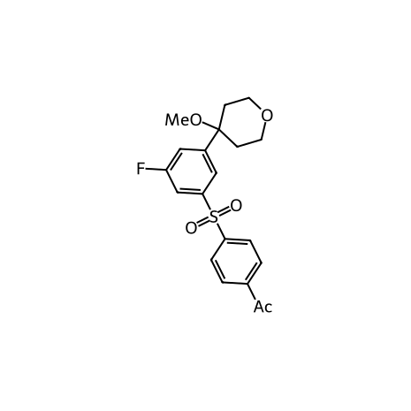 COC1(c2cc(F)cc(S(=O)(=O)c3ccc(C(C)=O)cc3)c2)CCOCC1